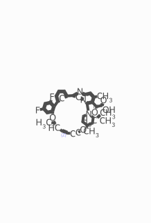 Cc1cc2nc3cn2c(c1[C@H](OC(C)(C)C)C(=O)O)N1CCC(C)(CC1)OCC/C=C\C[C@H](C)Oc1cc(F)cc(F)c1-c1cccc-3c1